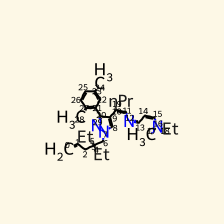 C=CCC(CC)(CC)Cn1cc(\C(=C/N=C\C=C/N(C)CC)CCC)c(-c2cc(C)ccc2C)n1